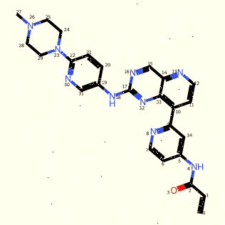 C=CC(=O)Nc1ccnc(-c2ccnc3cnc(Nc4ccc(N5CCN(C)CC5)nc4)nc23)c1